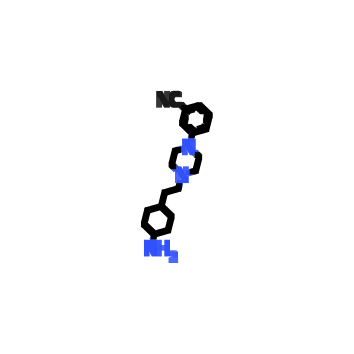 N#Cc1cccc(N2CCN(CCC3CCC(N)CC3)CC2)c1